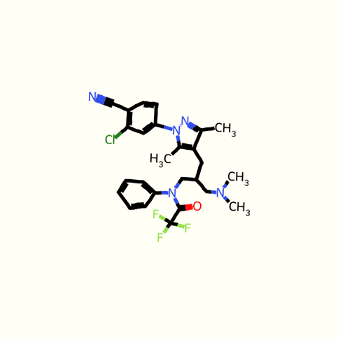 Cc1nn(-c2ccc(C#N)c(Cl)c2)c(C)c1CC(CN(C)C)CN(C(=O)C(F)(F)F)c1ccccc1